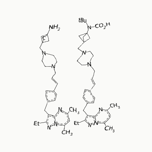 CCc1nn2c(C)cc(C)nc2c1Cc1ccc(/C=C/CN2CCN(CC34CC(N(C(=O)O)C(C)(C)C)(C3)C4)CC2)cc1.CCc1nn2c(C)cc(C)nc2c1Cc1ccc(/C=C/CN2CCN(CC34CC(N)(C3)C4)CC2)cc1